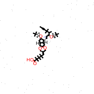 CC#CC(C)(C)C(C)[C@@H](/C=C/[C@@H]1[C@H]2CC3(C[C@H]2C[C@H]1O[Si](C)(C)C(C)(C)C)OCC(=CC(C)(C)C(C)(C)C(C)(C)C(=O)O)CO3)O[Si](C)(C)C(C)(C)C